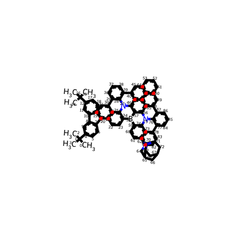 CC(C)(C)c1ccc2c(c1)-c1cc(C(C)(C)C)ccc1C2c1ccc2c(c1)N(c1c(-c3ccccc3)cccc1-c1ccccc1)c1cc(-c3ccccc3)cc3c1B2c1ccc(N2CC4CC5CC4CC2C5)cc1N3c1c(-c2ccccc2)cccc1-c1ccccc1